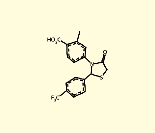 Cc1cc(N2C(=O)CSC2c2ccc(C(F)(F)F)cc2)ccc1C(=O)O